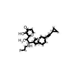 CC(c1occc(=O)c1O)[C@H](NCCF)c1cc2ccc(C#CC3CC3)cn2c1